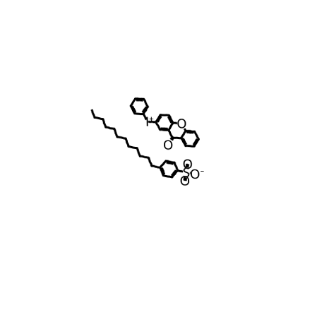 CCCCCCCCCCCCc1ccc(S(=O)(=O)[O-])cc1.O=c1c2ccccc2oc2ccc([I+]c3ccccc3)cc12